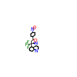 N#CC(CC(=O)c1ccc(N=O)cc1)(c1cccc2ncccc12)C(F)(F)F